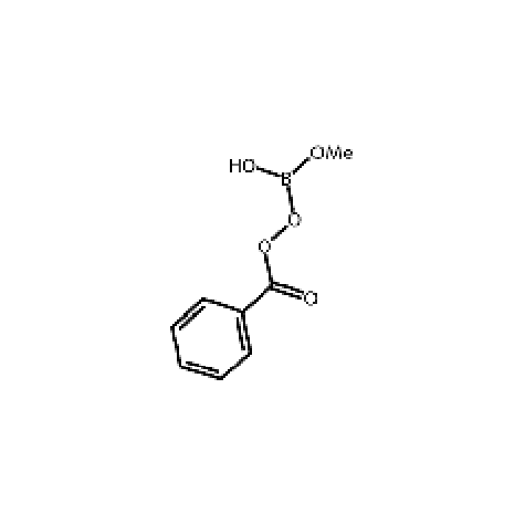 COB(O)OOC(=O)c1ccccc1